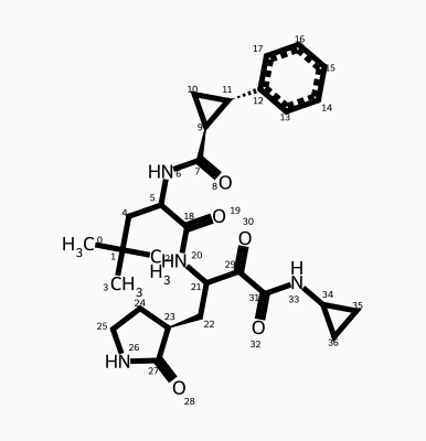 CC(C)(C)CC(NC(=O)[C@H]1C[C@@H]1c1ccccc1)C(=O)NC(C[C@@H]1CCNC1=O)C(=O)C(=O)NC1CC1